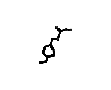 C=Cc1ccc(CSC(=O)CCCCC)cc1